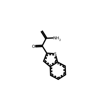 C=C(N)C(=O)c1cc2ccccc2s1